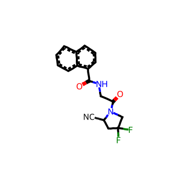 N#CC1CC(F)(F)CN1C(=O)CNC(=O)c1cccc2ccccc12